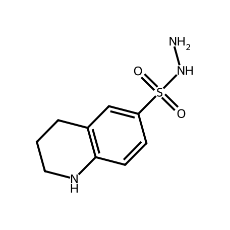 NNS(=O)(=O)c1ccc2c(c1)CCCN2